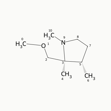 COC[C@]1(C)[C@@H](C)CCN1C